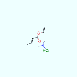 C=COC(=O)C=CC.CN(C)C.Cl